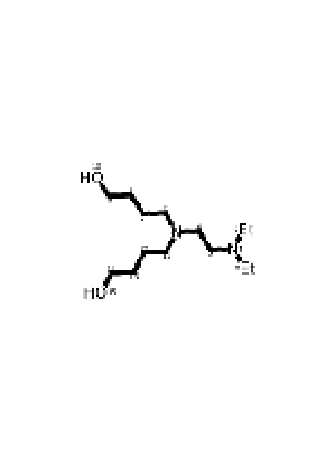 CCN(CC)CCN(CCCCO)CCCCO